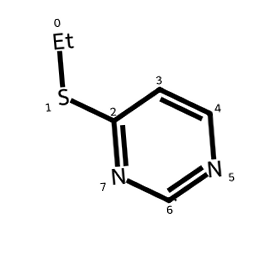 CCSc1ccn[c]n1